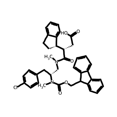 CN(C[C@@H](Cc1ccc(Cl)cc1)N(C)C(=O)OCC1c2ccccc2-c2ccccc21)C(=O)[C@@H](CC(=O)O)[C@@H]1CCc2ccccc21